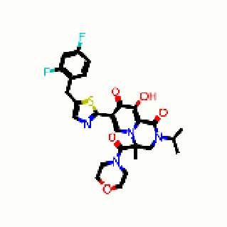 CC(C)N1CC(C)(C(=O)N2CCOCC2)n2cc(-c3ncc(Cc4ccc(F)cc4F)s3)c(=O)c(O)c2C1=O